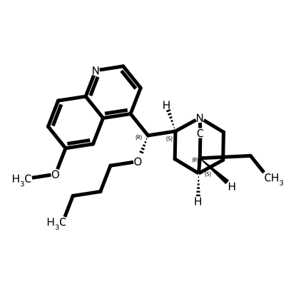 CCCCO[C@H](c1ccnc2ccc(OC)cc12)[C@@H]1C[C@@H]2CCN1C[C@@H]2CC